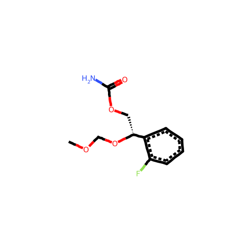 COCO[C@H](COC(N)=O)c1ccccc1F